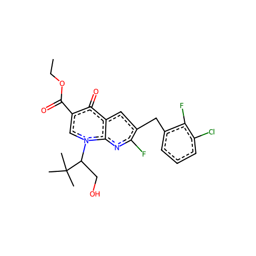 CCOC(=O)c1cn(C(CO)C(C)(C)C)c2nc(F)c(Cc3cccc(Cl)c3F)cc2c1=O